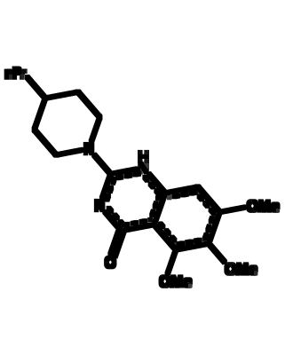 CCCC1CCN(c2nc(=O)c3c(OC)c(OC)c(OC)cc3[nH]2)CC1